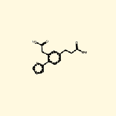 O=C(O)CCc1ccc(-c2cccs2)c(CC(=O)O)c1